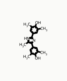 Cc1cc(-c2nc(-c3cc(C)c(O)c(C)c3)c(C)[nH]2)cc(C)c1O